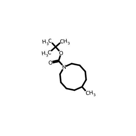 CC1CCCCN(C(=O)OC(C)(C)C)CCCC1